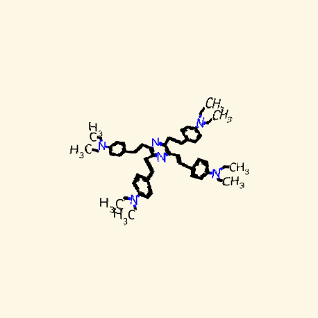 CCN(CC)c1ccc(/C=C/c2nc(/C=C/c3ccc(N(CC)CC)cc3)c(/C=C/c3ccc(N(CC)CC)cc3)nc2/C=C/c2ccc(N(CC)CC)cc2)cc1